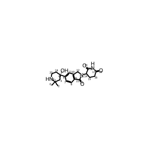 CC1(C)C[C@](O)(c2ccc3c(c2)CN(C2CCC(=O)NC2=O)C3=O)CCN1